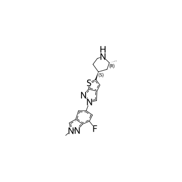 C[C@@H]1C[C@@H](c2cc3cn(-c4cc(F)c5nn(C)cc5c4)nc3s2)CCN1